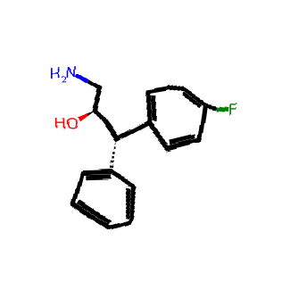 NC[C@H](O)[C@@H](c1ccccc1)c1ccc(F)cc1